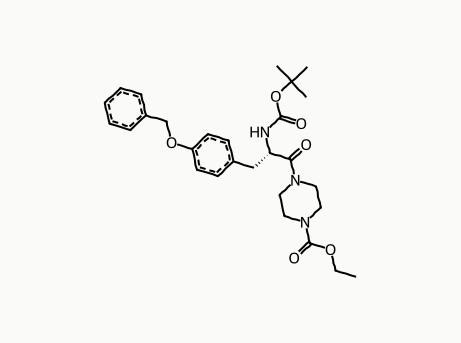 CCOC(=O)N1CCN(C(=O)[C@H](Cc2ccc(OCc3ccccc3)cc2)NC(=O)OC(C)(C)C)CC1